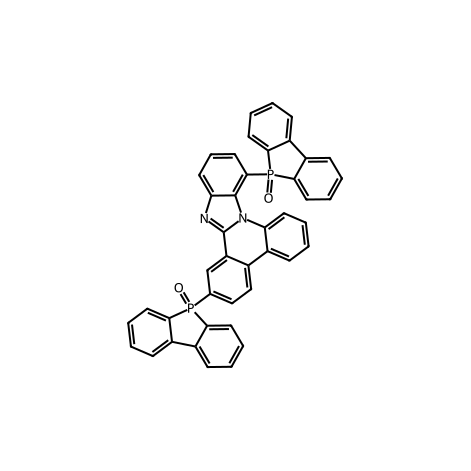 O=P1(c2ccc3c4ccccc4n4c(nc5cccc(P6(=O)c7ccccc7-c7ccccc76)c54)c3c2)c2ccccc2-c2ccccc21